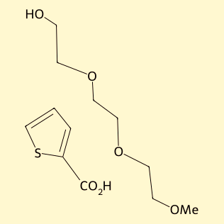 COCCOCCOCCO.O=C(O)c1cccs1